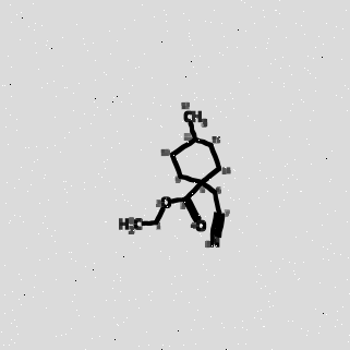 CCOC(=O)C1(CC#N)CCC(C)CC1